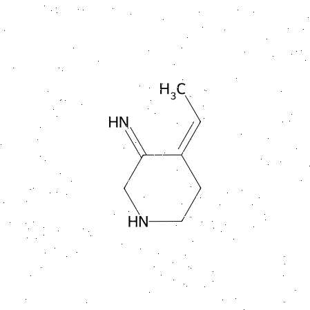 C/C=C1/CCNCC1=N